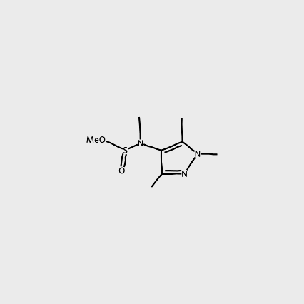 COS(=O)N(C)c1c(C)nn(C)c1C